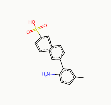 Cc1ccc(N)c(-c2ccc3cc(S(=O)(=O)O)ccc3c2)c1